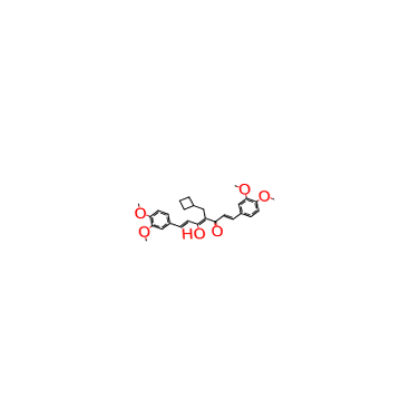 COc1ccc(/C=C/C(=O)/C(CC2CCC2)=C(O)/C=C/c2ccc(OC)c(OC)c2)cc1OC